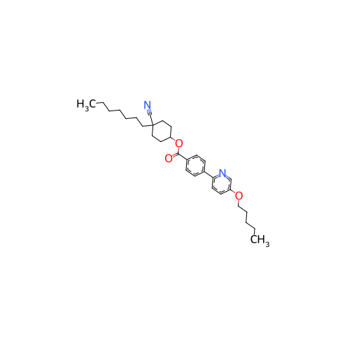 CCCCCCCC1(C#N)CCC(OC(=O)c2ccc(-c3ccc(OCCCCC)cn3)cc2)CC1